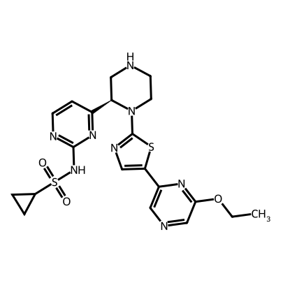 CCOc1cncc(-c2cnc(N3CCNC[C@@H]3c3ccnc(NS(=O)(=O)C4CC4)n3)s2)n1